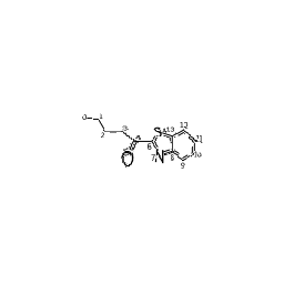 CCCCC(=O)c1nc2ccccc2s1